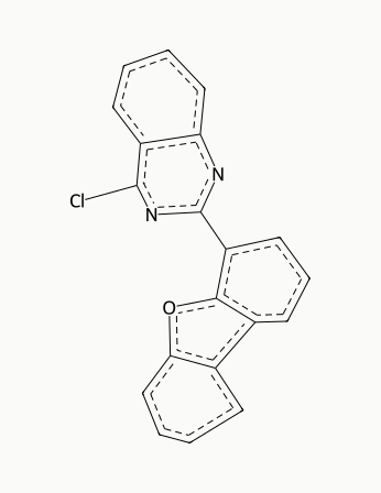 Clc1nc(-c2cccc3c2oc2ccccc23)nc2ccccc12